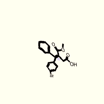 COC(=O)/C(CC(=O)O)=C(\c1ccccc1)c1ccc(Br)cc1